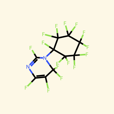 FC1=NC(F)=C(F)C(F)(F)N1C1(F)C(F)(F)C(F)(F)C(F)(F)C(F)(F)C1(F)F